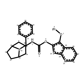 CC(C)Oc1c(OC(=O)NC2CC3CCC(C2)N3Cc2ccccc2)sc2ncccc12